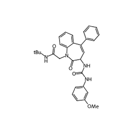 COc1cccc(NC(=O)NC2C=C(c3ccccc3)c3ccccc3N(CC(=O)NC(C)(C)C)C2=O)c1